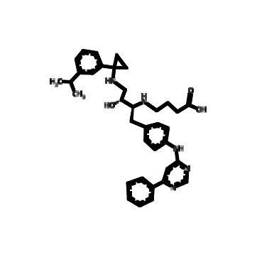 CC(C)c1cccc(C2(NC[C@@H](O)[C@H](Cc3ccc(Nc4cc(-c5ccccc5)ncn4)cc3)NCCCC(=O)O)CC2)c1